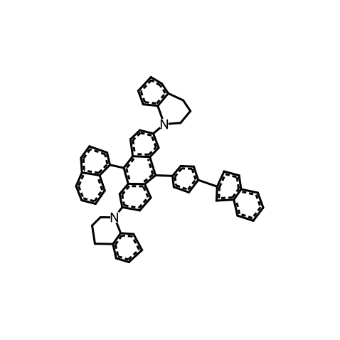 c1ccc2c(c1)CCCN2c1ccc2c(-c3cccc4ccccc34)c3cc(N4CCCc5ccccc54)ccc3c(-c3ccc(-c4ccc5ccccc5c4)cc3)c2c1